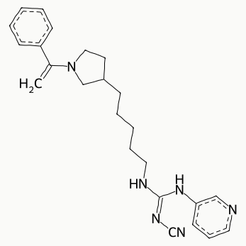 C=C(c1ccccc1)N1CCC(CCCCCN/C(=N/C#N)Nc2cccnc2)C1